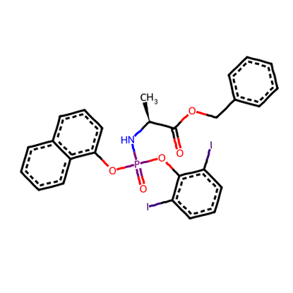 C[C@H](NP(=O)(Oc1c(I)cccc1I)Oc1cccc2ccccc12)C(=O)OCc1ccccc1